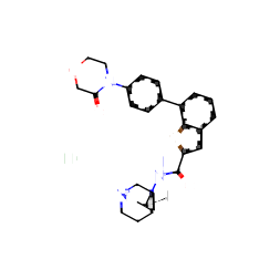 Cl.O=C(N[C@H]1CN2CCC1CC2)c1cc2cccc(-c3ccc(N4CCOCC4=O)cc3)c2s1